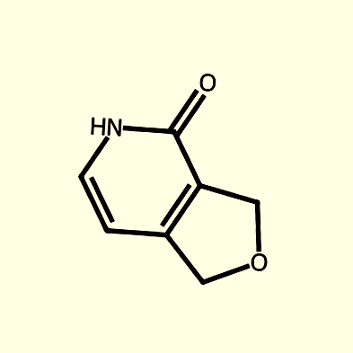 O=c1[nH]ccc2c1COC2